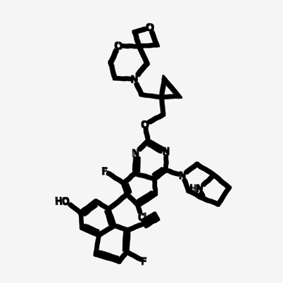 C#Cc1c(F)ccc2cc(O)cc(-c3c(Cl)cc4c(N5CC6CCC(C5)N6)nc(OCC5(CN6CCOC7(COC7)C6)CC5)nc4c3F)c12